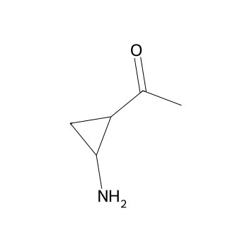 CC(=O)C1CC1N